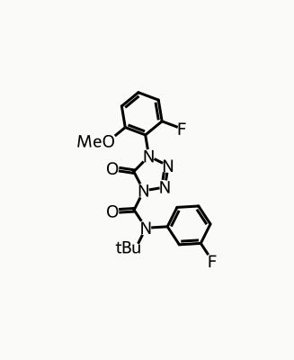 COc1cccc(F)c1-n1nnn(C(=O)N(c2cccc(F)c2)C(C)(C)C)c1=O